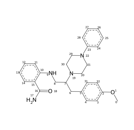 COc1ccc(CC(CNc2ccccc2C(N)=O)N2CCN(c3ccccc3)CC2)cc1